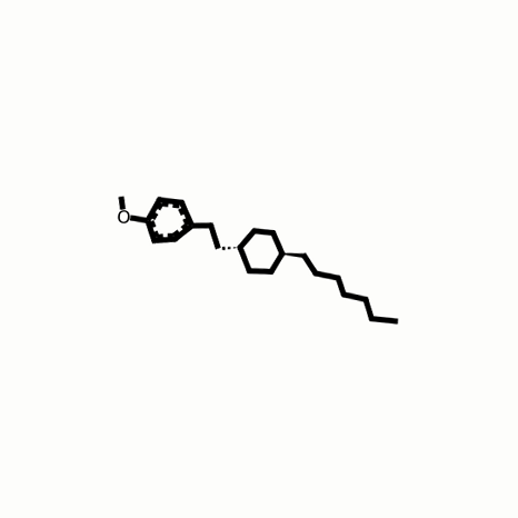 CCCCCCC[C@H]1CC[C@H](CCc2ccc(OC)cc2)CC1